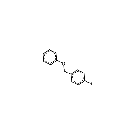 Ic1ccc(COc2ccccc2)cc1